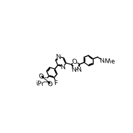 CNCc1ccc(-c2nnc(-c3cncc(-c4ccc(S(=O)(=O)C(C)C)c(F)c4)n3)o2)cc1